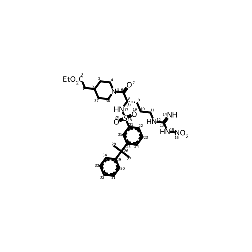 CCOC(=O)CC1CCN(C(=O)[C@H](CCCNC(=N)N[N+](=O)[O-])NS(=O)(=O)c2cccc(C(C)(C)c3ccccc3)c2)CC1